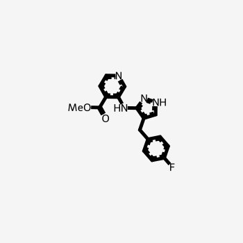 COC(=O)c1ccncc1Nc1n[nH]cc1Cc1ccc(F)cc1